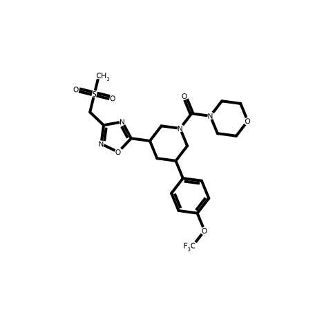 CS(=O)(=O)Cc1noc(C2CC(c3ccc(OC(F)(F)F)cc3)CN(C(=O)N3CCOCC3)C2)n1